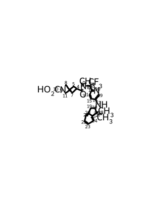 CN(C(=O)C1CC2(C1)CN(C(=O)O)C2)[C@@H](c1ccc(NC2Cc3ccccc3C2(C)C)cn1)C(F)(F)F